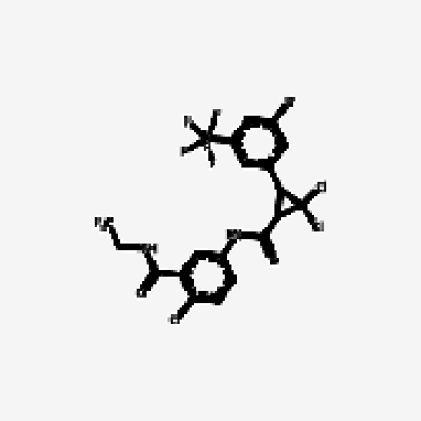 O=C(NCC(F)(F)F)c1cc(NC(=O)C2C(c3cc(Br)cc([SH](F)(F)(F)F)c3)C2(Cl)Cl)ccc1Cl